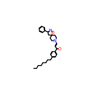 CCCCCCCCc1ccc(C(=O)C=CN2CCC3(CC2)CC(c2ccccc2)=NO3)cc1